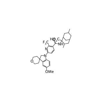 COc1ccc2c(c1)C1(CCOCC1)CN2c1ccc(C(=O)NC2(C(=O)O)C(C)CC3CC(C)CC2C3)c(C(F)(F)F)n1